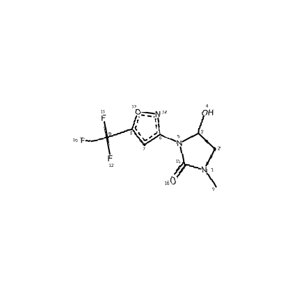 CN1CC(O)N(c2cc(C(F)(F)F)on2)C1=O